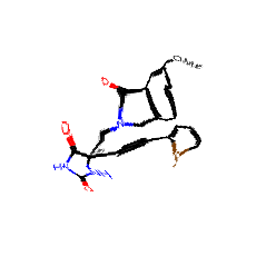 COc1ccc2c(c1)C(=O)N(C[C@@]1(C#Cc3cccs3)NC(=O)NC1=O)C2